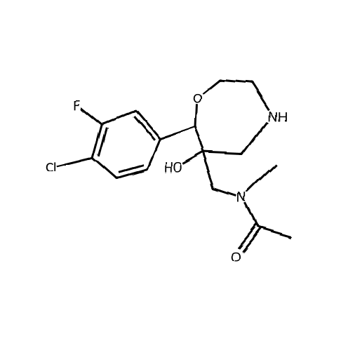 CC(=O)N(C)CC1(O)CNCCOC1c1ccc(Cl)c(F)c1